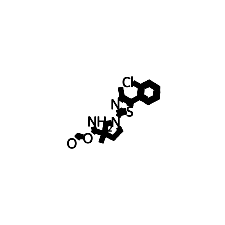 Cc1nc(N2CCC(C)(C(N)OC=O)C2)sc1-c1ccccc1Cl